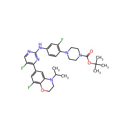 CC(C)N1CCOc2c(F)cc(-c3nc(Nc4ccc(N5CCN(C(=O)OC(C)(C)C)CC5)c(F)c4)ncc3F)cc21